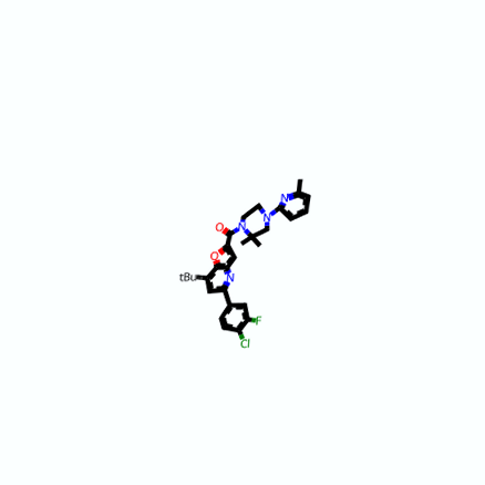 Cc1cccc(N2CCN(C(=O)c3cc4nc(-c5ccc(Cl)c(F)c5)cc(C(C)(C)C)c4o3)C(C)(C)C2)n1